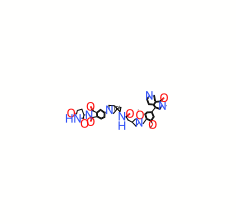 COc1cc(-c2cn(C)c(=O)c3cnccc23)cc(OC)c1CN1CC(CC(=O)NC2C[C@@]23CCN(c2ccc4c(c2)C(=O)N(C2CCC(=O)NC2=O)C4=O)C3)C1